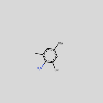 Cc1cc(C(C)(C)C)cc(C#N)c1N